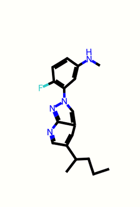 CCCC(C)c1cnc2nn(-c3cc(NC)ccc3F)cc2c1